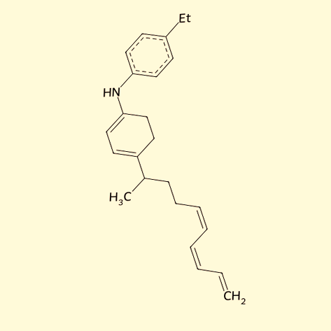 C=C/C=C\C=C/CCC(C)C1=CC=C(Nc2ccc(CC)cc2)CC1